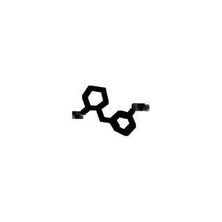 COc1cccc(CC2CCCCC2C#N)c1